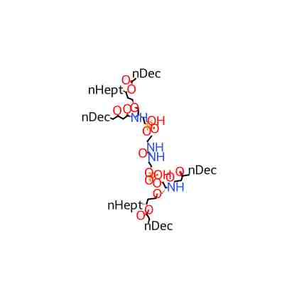 CCCCCCCCCCCC(=O)CC(=O)N[C@H](COCC[C@@H](CCCCCCC)OC(=O)CCCCCCCCCCC)COP(=O)(O)OCCNC(=O)NCCOP(=O)(O)CC[C@@H](COCC[C@@H](CCCCCCC)OC(=O)CCCCCCCCCCC)NC(=O)CC(=O)CCCCCCCCCCC